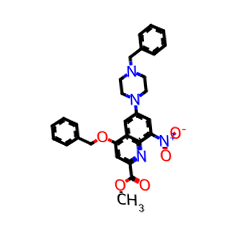 COC(=O)c1cc(OCc2ccccc2)c2cc(N3CCN(Cc4ccccc4)CC3)cc([N+](=O)[O-])c2n1